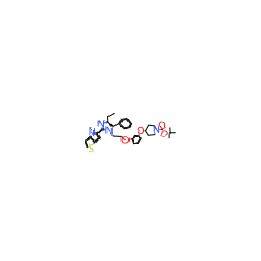 CCc1nc(-c2cc3sccc3n2C)n(CCOc2cccc(OC3CCN(C(=O)OC(C)(C)C)CC3)c2)c1-c1ccccc1